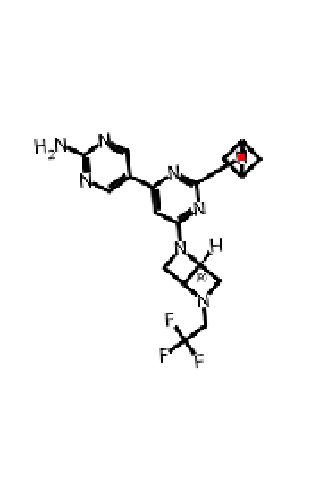 Nc1ncc(-c2cc(N3CC4[C@H]3CN4CC(F)(F)F)nc(N3CC4CC3C4)n2)cn1